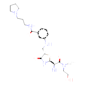 CCCN(CCO)C(=O)/C(N)=C1\S[C@H](CNc2cccc(C(=O)NCCCN3CCCC3)c2)C(=O)N1CC